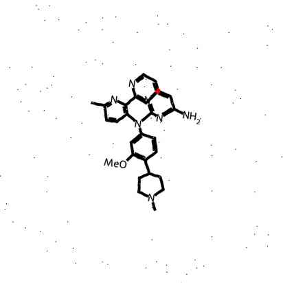 COc1cc(N(c2nccc(N)n2)c2ccc(C)nc2-c2ccccn2)ccc1C1CCN(C)CC1